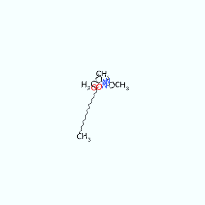 CCCCCCCCCCCCCCCCCC(=O)Oc1c(C)cc(C)cc1-n1nc2ccc(C)cc2n1